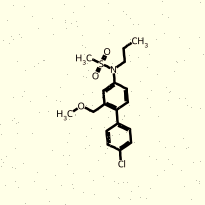 CCCN(c1ccc(-c2ccc(Cl)cc2)c(COC)c1)S(C)(=O)=O